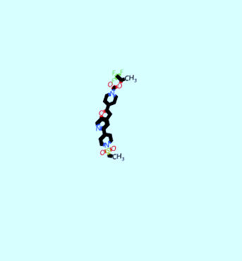 CCS(=O)(=O)N1CC=C(c2cc3c(cn2)OC(C2CCN(C(=O)OC(C)C(F)(F)F)CC2)C3)CC1